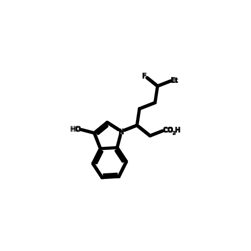 CCC(F)CCC(CC(=O)O)n1cc(O)c2ccccc21